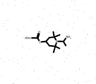 CCCCCCCCCCC(=O)OC1CC(C)(C)N(C(C)N)C(C)(C)C1